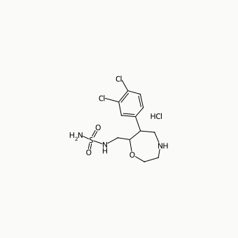 Cl.NS(=O)(=O)NCC1OCCNCC1c1ccc(Cl)c(Cl)c1